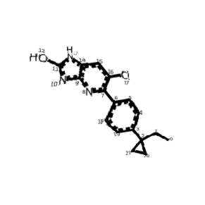 CCC1(c2ccc(-c3nc4nc(O)[nH]c4cc3Cl)cc2)CC1